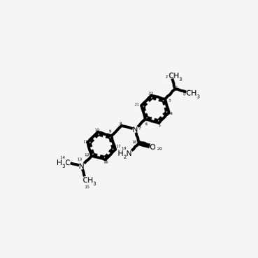 CC(C)c1ccc(N(Cc2ccc(N(C)C)cc2)C(N)=O)cc1